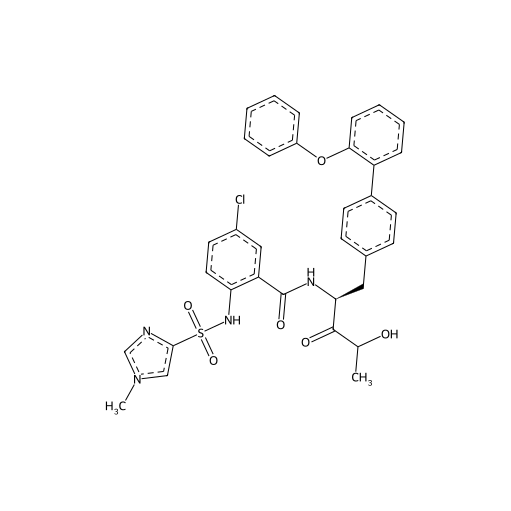 CC(O)C(=O)[C@H](Cc1ccc(-c2ccccc2Oc2ccccc2)cc1)NC(=O)c1cc(Cl)ccc1NS(=O)(=O)c1cn(C)cn1